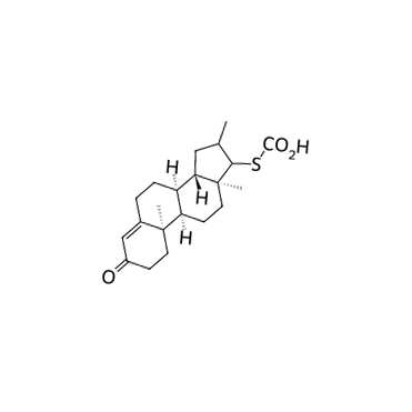 CC1C[C@H]2[C@@H]3CCC4=CC(=O)CC[C@]4(C)[C@@H]3CC[C@]2(C)C1SC(=O)O